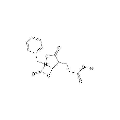 [N]OC(=O)CCC1C(=O)O[N+]2(Cc3ccccc3)C(=O)OC12